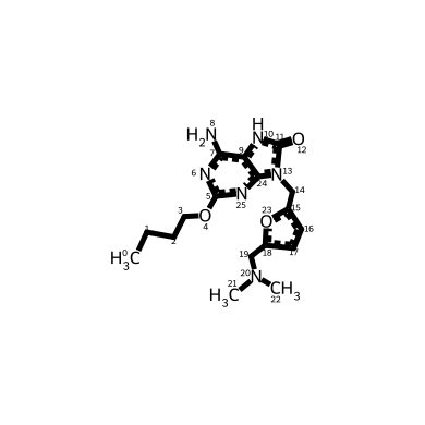 CCCCOc1nc(N)c2[nH]c(=O)n(Cc3ccc(CN(C)C)o3)c2n1